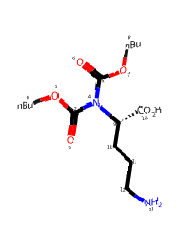 CCCCOC(=O)N(C(=O)OCCCC)[C@@H](CCCN)C(=O)O